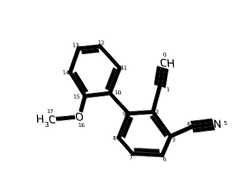 C#Cc1c(C#N)cccc1-c1ccccc1OC